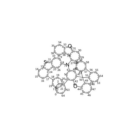 c1ccc(-c2cc(N(c3ccc4sc5cccc(-c6ccccc6)c5c4c3)c3cccc4oc5ccccc5c34)cc3c2Oc2ccccc2C32c3ccccc3-c3ccccc32)cc1